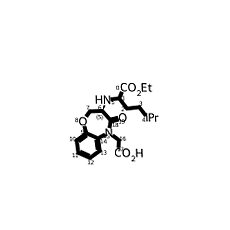 CCOC(=O)C(CCC(C)C)N[C@H]1COc2ccccc2N(CC(=O)O)C1=O